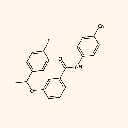 CC(Oc1cccc(C(=O)Nc2ccc(C#N)cc2)c1)c1ccc(F)cc1